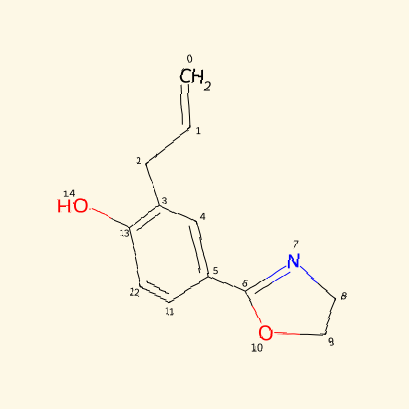 C=CCc1cc(C2=NCCO2)ccc1O